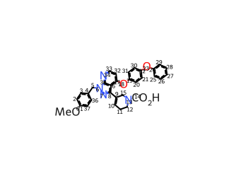 COc1ccc(Cn2nc(C3=CCCN(C(=O)O)C3)c3c(Oc4ccc(Oc5ccccc5)cc4)ccnc32)cc1